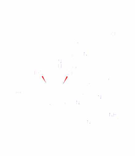 Nc1ncn([C@@H]2O[C@H](CO)[C@@H](O)[C@H]2O)c(=O)n1.O=P1(N(CCCl)CCCl)NCCCO1